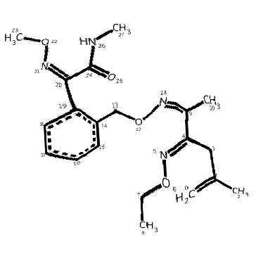 C=C(C)CC(=NOCC)C(C)=NOCc1ccccc1C(=NOC)C(=O)NC